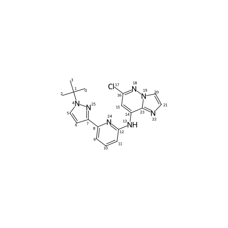 CC(C)(C)n1ccc(-c2cccc(Nc3cc(Cl)nn4ccnc34)n2)n1